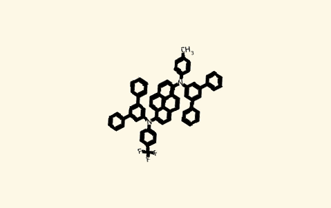 Cc1ccc(N(c2cc(-c3ccccc3)cc(-c3ccccc3)c2)c2ccc3ccc4c(N(c5ccc(C(F)(F)F)cc5)c5cc(-c6ccccc6)cc(-c6ccccc6)c5)ccc5ccc2c3c54)cc1